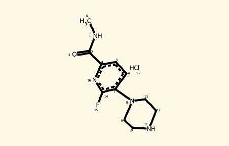 CNC(=O)c1ccc(N2CCNCC2)c(F)n1.Cl